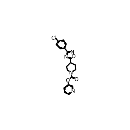 O=C(Oc1cccnc1)N1CCC(c2nc(-c3ccc(Cl)cc3)no2)CC1